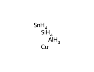 [AlH3].[Cu].[SiH4].[SnH4]